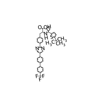 CC(C)(C)c1ccc(C(=O)NC(Cc2ccc(-c3ncc(-c4ccc(-c5ccc(C(F)(F)F)cc5)cc4)cn3)cc2)C(=O)O)s1